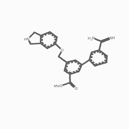 COC(=O)c1cc(COc2ccc3c(c2)CNC3)cc(-c2cccc(C(=N)N)c2)c1